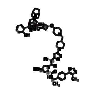 Cc1ncoc1-c1ccc([C@H](C)NC(=O)[C@@H]2C[C@@H](O)CN2C(=O)[C@@H](c2cc(N3CCC(CN4CCC(O[C@H]5C[C@H](Oc6cc(N7C8CCC7CN(c7cc(-c9ccccc9O)nnc7N)C8)ccn6)C5)CC4)CC3)no2)C(C)C)cc1